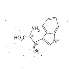 CCC(C)[C@H](c1c[nH]c2ccccc12)[C@@H](N)C(=O)O